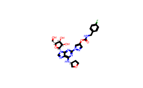 O=C(NCc1ccc(F)cc1)Oc1cnn(-c2nc(N[C@@H]3CCOC3)c3ncn([C@@H]4O[C@H](CO)[C@@H](O)[C@H]4O)c3n2)c1